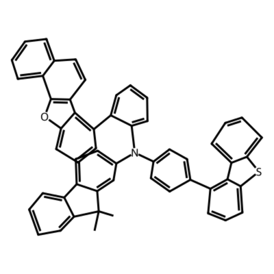 CC1(C)c2ccccc2-c2ccc(N(c3ccc(-c4cccc5sc6ccccc6c45)cc3)c3ccccc3-c3cccc4oc5c6ccccc6ccc5c34)cc21